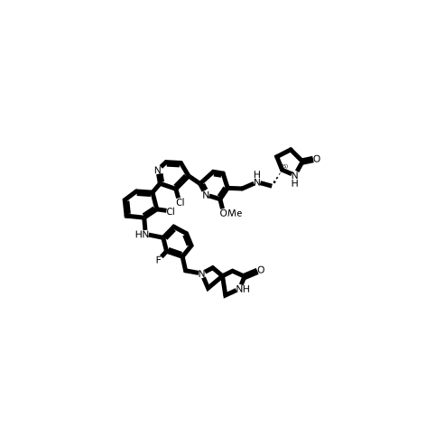 COc1nc(-c2ccnc(-c3cccc(Nc4cccc(CN5CC6(CNC(=O)C6)C5)c4F)c3Cl)c2Cl)ccc1CNC[C@@H]1CCC(=O)N1